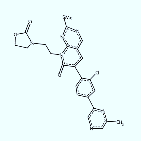 CSc1ncc2cc(-c3ccc(-c4cncc(C)n4)cc3Cl)c(=O)n(CCN3CCOC3=O)c2n1